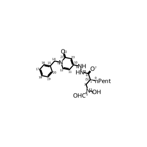 CCCCC[C@@H](CN(O)C=O)C(=O)NNc1ccn(Cc2ccccc2)c(=O)c1